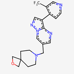 FC(F)(F)c1cnccc1-c1cnn2cc(CN3CCC4(CC3)COC4)cnc12